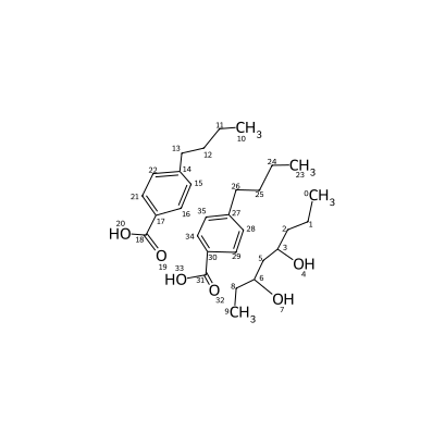 CCCC(O)CC(O)CC.CCCCc1ccc(C(=O)O)cc1.CCCCc1ccc(C(=O)O)cc1